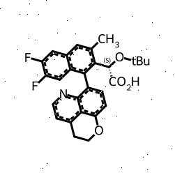 Cc1cc2cc(F)c(F)cc2c(-c2ccc3c4c(ccnc24)CCO3)c1[C@H](OC(C)(C)C)C(=O)O